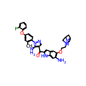 Cc1cc(Oc2ccccc2F)ccc1-n1ncc(C(=O)c2cc3cc(OCCN4CC5CC(C4)N5)c(N)cc3[nH]2)c1N